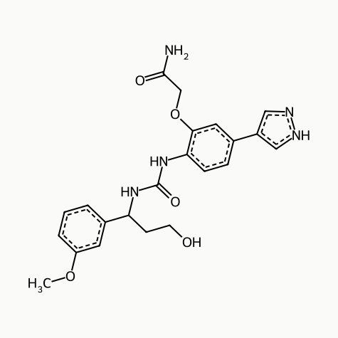 COc1cccc(C(CCO)NC(=O)Nc2ccc(-c3cn[nH]c3)cc2OCC(N)=O)c1